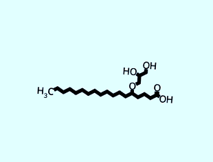 CCCCCCCCCCCCCC(CCCC(=O)O)OCC(O)CO